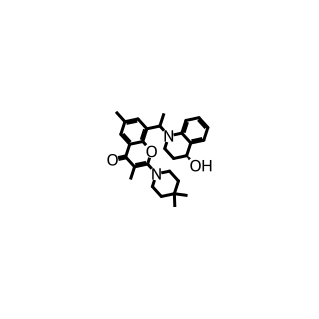 Cc1cc(C(C)N2CC[C@H](O)c3ccccc32)c2oc(N3CCC(C)(C)CC3)c(C)c(=O)c2c1